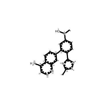 CB(O)c1ccc(-c2nsc(C)n2)c(-c2ccc3c(N)cnnc3c2)c1